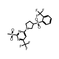 CS(=O)(=O)c1nc(N2CCC(S(=O)(=O)c3ccccc3C(F)(F)F)C2)cc(C(F)(F)F)n1